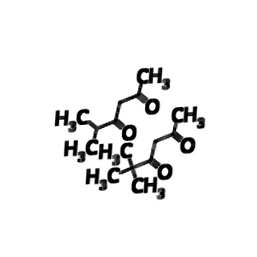 CC(=O)CC(=O)C(C)(C)C.CC(=O)CC(=O)C(C)C